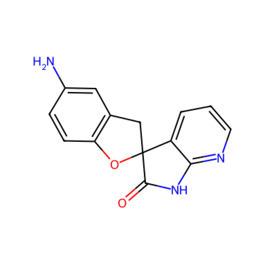 Nc1ccc2c(c1)CC1(O2)C(=O)Nc2ncccc21